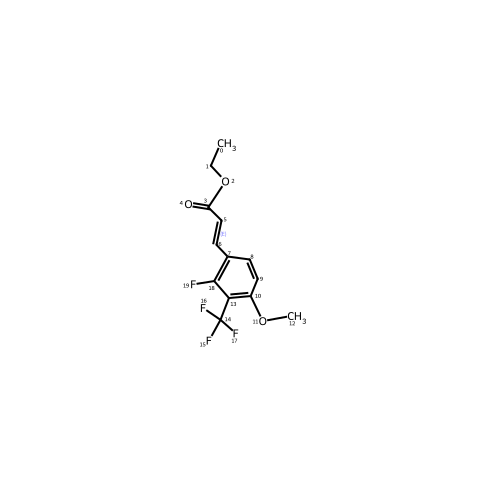 CCOC(=O)/C=C/c1ccc(OC)c(C(F)(F)F)c1F